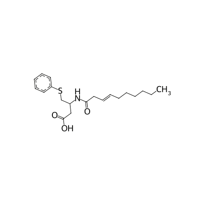 CCCCCC/C=C/CC(=O)NC(CSc1ccccc1)CC(=O)O